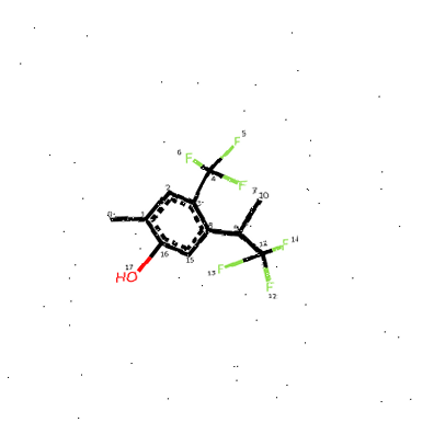 Cc1cc(C(F)(F)F)c(C(C)C(F)(F)F)cc1O